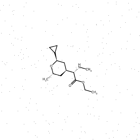 CCOC(=O)[C@@H](NC)[C@H]1C[C@H](C)O[C@@H](C2CC2)C1